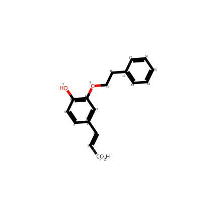 O=C(O)C=Cc1ccc(O)c(OCCc2ccccc2)c1